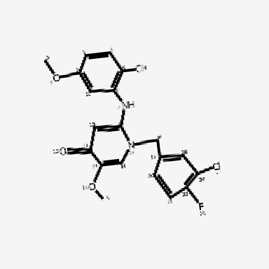 COc1ccc(Cl)c(Nc2cc(=O)c(OC)cn2Cc2ccc(F)c(Cl)c2)c1